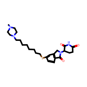 CN1CCN(CCCCCCCCSc2ccc3c(c2)CN(C2CCC(=O)NC2=O)C3=O)CC1